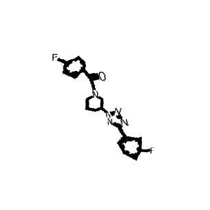 O=C(c1ccc(F)cc1)N1CCCC(n2nnc(-c3cccc(F)c3)n2)C1